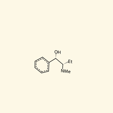 CC[C@H](NC)[C@@H](O)c1ccccc1